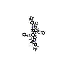 O=C1C(=O)c2cc(C(F)(F)F)ccc2/C1=C/c1cc2c(C(=O)OCc3ccccc3)cc3c(cc(C(=O)OCc4ccccc4)c4cc(/C=C5\C(=O)C(=O)c6cc(C(F)(F)F)ccc65)sc43)c2s1